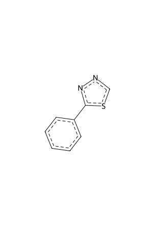 c1ccc(-c2nncs2)cc1